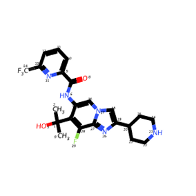 CC(C)(O)c1c(NC(=O)c2cccc(C(F)(F)F)n2)cn2cc(C3CCNCC3)nc2c1F